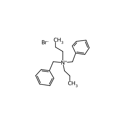 CCC[N+](CCC)(Cc1ccccc1)Cc1ccccc1.[Br-]